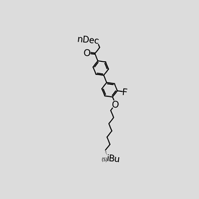 CCCCCCCCCCCC(=O)c1ccc(-c2ccc(OCCCCCCC[C@@H](C)CC)c(F)c2)cc1